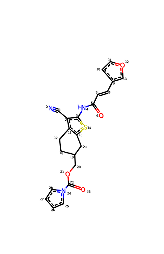 N#Cc1c(NC(=O)C=Cc2ccoc2)sc2c1CCC(COC(=O)n1cccc1)C2